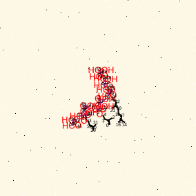 C=C(C)CCOP(=O)(O)OP(=O)(O)O.CC(C)=CCC/C(C)=C/COP(=O)(O)O.CC(C)=CCOP(=O)(O)OP(=O)(O)O.O=P(O)(O)O.O=P(O)(O)O.O=P(O)(O)O